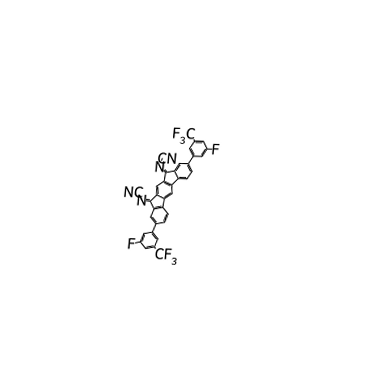 N#C/N=c1/c2cc(-c3cc(F)cc(C(F)(F)F)c3)ccc2c2cc3c(cc12)/c(=N/C#N)c1cc(-c2cc(F)cc(C(F)(F)F)c2)ccc13